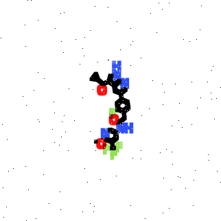 COc1ncc(NC(=O)Cc2ccc(-c3cnc4[nH]cc(C(=O)C5CC5)c4c3)cc2F)cc1C(F)(F)F